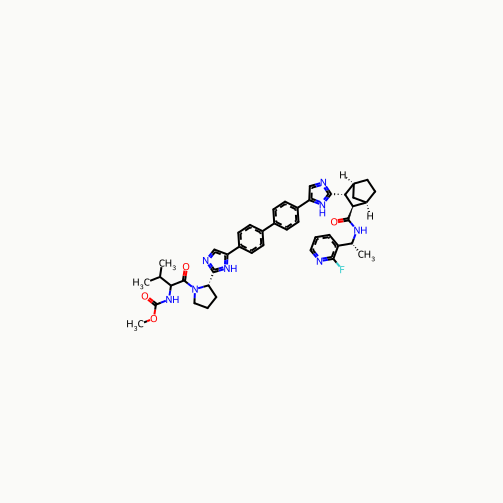 COC(=O)NC(C(=O)N1CCC[C@H]1c1ncc(-c2ccc(-c3ccc(-c4cnc([C@@H]5[C@H]6CC[C@H](C6)[C@H]5C(=O)N[C@H](C)c5cccnc5F)[nH]4)cc3)cc2)[nH]1)C(C)C